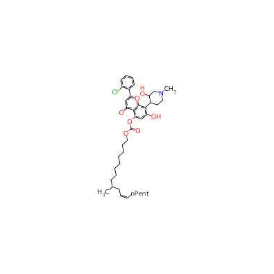 CCCCC/C=C\CC(C)CCCCCCCCOC(=O)Oc1cc(O)c(C2CCN(C)C[C@@H]2O)c2oc(-c3ccccc3Cl)cc(=O)c12